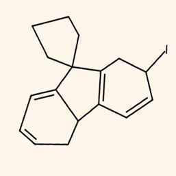 IC1C=CC2=C(C1)C1(CCCC1)C1=CC=CCC12